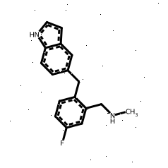 CNCc1cc(F)ccc1Cc1ccc2[nH]ccc2c1